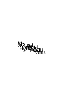 C[C@@]1(O)CC[C@@]2(C)[C@H](CC[C@@H]3[C@@H]2CC[C@]2(C)[C@@H](C(=O)c4ccc5c(c4)OCO5)CC[C@@H]32)C1